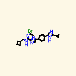 Brc1cn2c(-c3ccc(-c4cnc(C5CC5)[nH]4)cc3)cnc2c(NCC2CCC2)n1